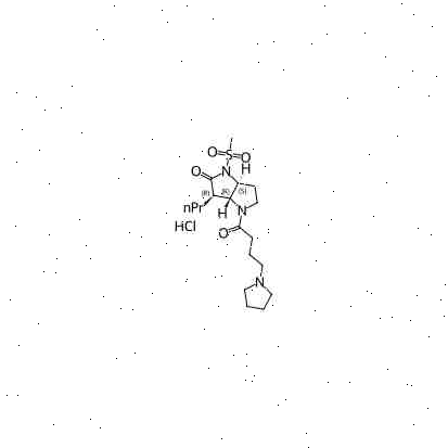 CCC[C@H]1C(=O)N(S(C)(=O)=O)[C@H]2CCN(C(=O)CCCN3CCCC3)[C@H]12.Cl